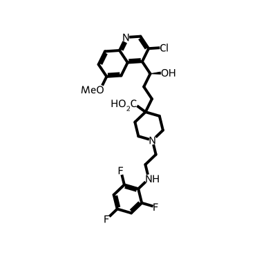 COc1ccc2ncc(Cl)c([C@@H](O)CCC3(C(=O)O)CCN(CCNc4c(F)cc(F)cc4F)CC3)c2c1